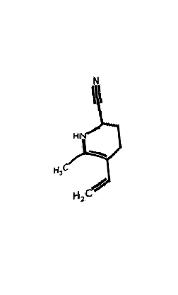 C=CC1=C(C)NC(C#N)CC1